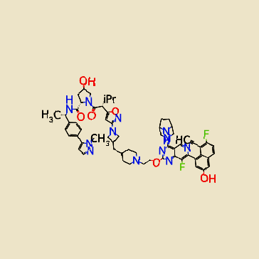 C#Cc1c(F)ccc2cc(O)cc(-c3ncc4c(N5CC6CCC(C5)N6)nc(OCCN5CCC(CC6CN(c7cc([C@H](C(=O)N8C[C@H](O)C[C@H]8C(=O)N[C@@H](C)c8ccc(-c9ccnn9C)cc8)C(C)C)on7)C6)CC5)nc4c3F)c12